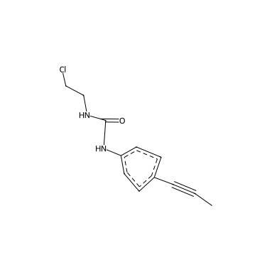 CC#Cc1ccc(NC(=O)NCCCl)cc1